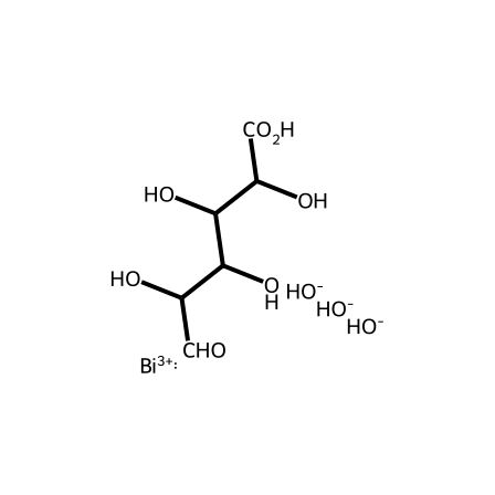 O=CC(O)C(O)C(O)C(O)C(=O)O.[Bi+3].[OH-].[OH-].[OH-]